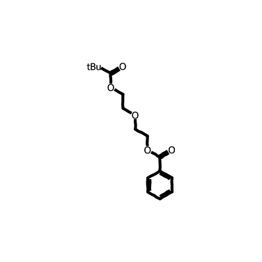 CC(C)(C)C(=O)OCCOCCOC(=O)c1ccccc1